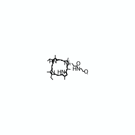 CCC1=C(C)c2cc3[nH]c(cc4nc(c(C)c5cc(C)c(cc1n2)[nH]5)[C@@H](CCC(=O)NCCOC)[C@@H]4C)c(C)c3CC